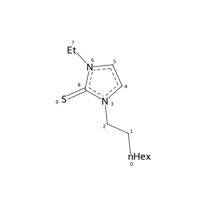 CCCCCCCCn1ccn(CC)c1=S